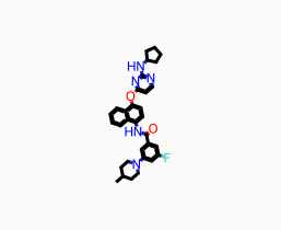 CC1CCN(c2cc(F)cc(C(=O)Nc3ccc(Oc4ccnc(NC5CCCC5)n4)c4ccccc34)c2)CC1